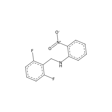 O=[N+]([O-])c1ccccc1NCc1c(F)cccc1F